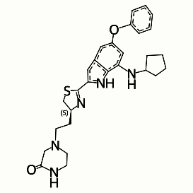 O=C1CN(CC[C@H]2CSC(c3cc4cc(Oc5ccccc5)cc(NC5CCCC5)c4[nH]3)=N2)CCN1